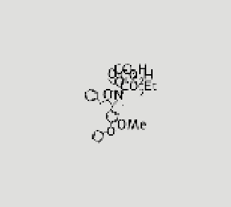 CCOC(=O)CN(C(=O)[C@@H]1COC(C(=O)O)(C(=O)O)O1)[C@H](C)[C@H](CCc1ccccc1)c1ccc(Oc2ccccc2)c(OC)c1